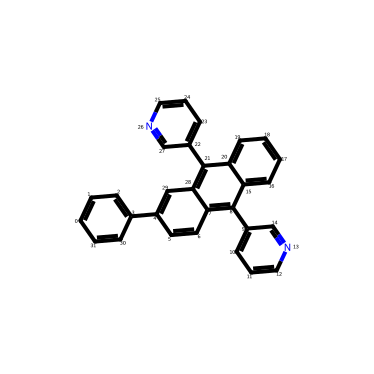 c1ccc(-c2ccc3c(-c4cccnc4)c4ccccc4c(-c4cccnc4)c3c2)cc1